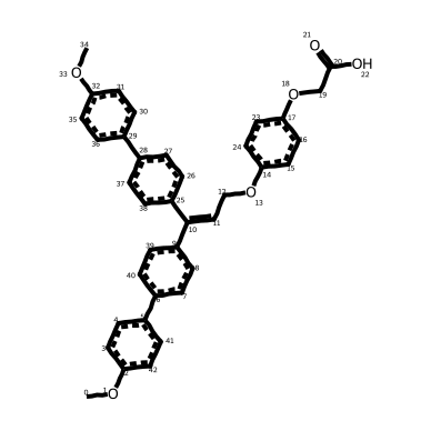 COc1ccc(-c2ccc(C(=CCOc3ccc(OCC(=O)O)cc3)c3ccc(-c4ccc(OC)cc4)cc3)cc2)cc1